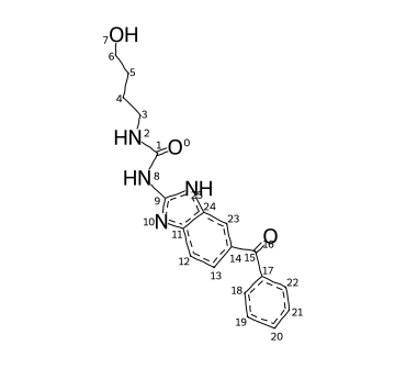 O=C(NCCCCO)Nc1nc2ccc(C(=O)c3ccccc3)cc2[nH]1